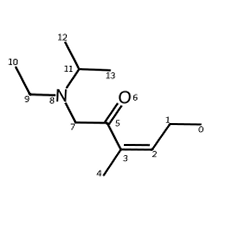 CC/C=C(/C)C(=O)CN(CC)C(C)C